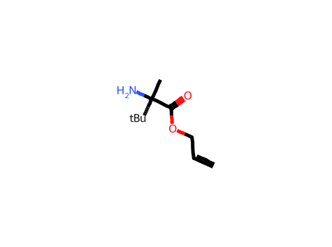 C=CCOC(=O)C(C)(N)C(C)(C)C